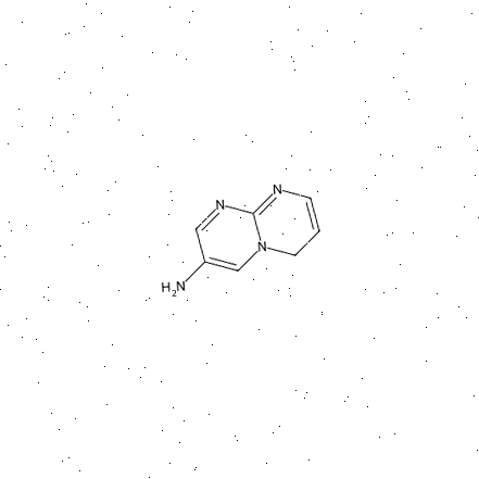 NC1=CN2CC=CN=C2N=C1